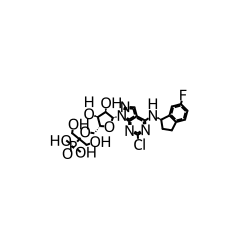 O=P(O)(O)C(CO)(CO)OC[C@H]1O[C@@H](n2ncc3c(N[C@@H]4CCc5ccc(F)cc54)nc(Cl)nc32)[C@H](O)[C@@H]1O